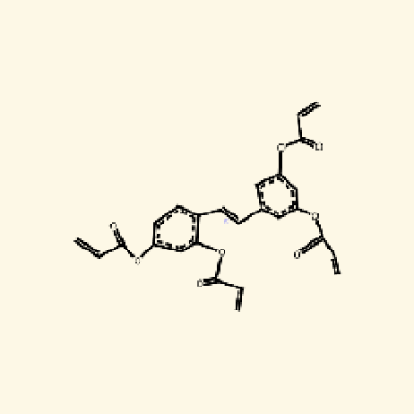 C=CC(=O)Oc1cc(/C=C/c2ccc(OC(=O)C=C)cc2OC(=O)C=C)cc(OC(=O)C=C)c1